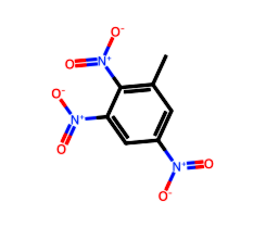 Cc1cc([N+](=O)[O-])cc([N+](=O)[O-])c1[N+](=O)[O-]